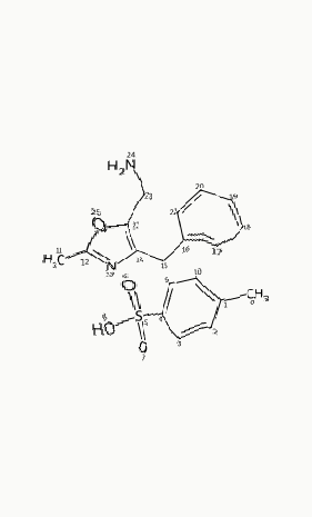 Cc1ccc(S(=O)(=O)O)cc1.Cc1nc(Cc2ccccc2)c(CN)o1